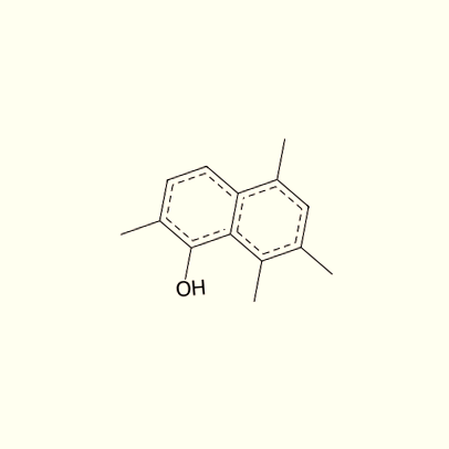 Cc1cc(C)c2ccc(C)c(O)c2c1C